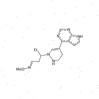 CCC(C/C=N/OC)N1C=C(c2ncnc3[nH]ccc23)CCN1